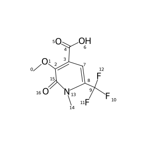 COc1c(C(=O)O)cc(C(F)(F)F)n(C)c1=O